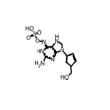 Nc1nc2c(/c(=N/OS(=O)(=O)O)[nH]1)NCN2C1C=CC(CO)C1